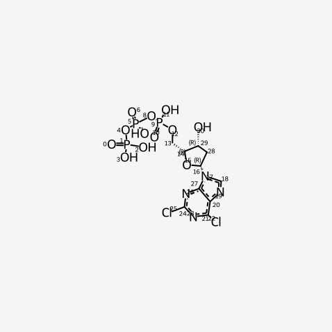 O=P(O)(O)OP(=O)(O)OP(=O)(O)OC[C@H]1O[C@@H](n2cnc3c(Cl)nc(Cl)nc32)C[C@H]1O